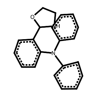 c1ccc(N(c2ccccc2)c2ccccc2C2NCCO2)cc1